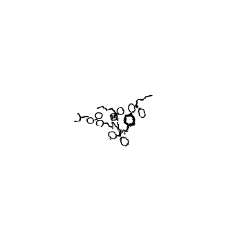 CCCCC(=O)Oc1ccc(C[C@H](NCCOC(=O)OCC(C)CC)C(=O)OC)cc1OC(=O)CCCC